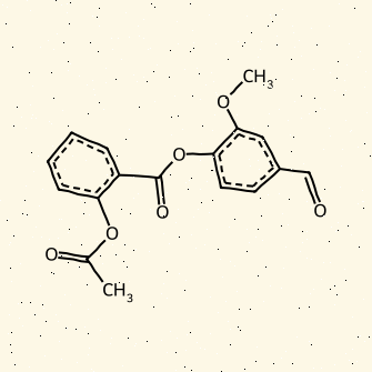 COc1cc(C=O)ccc1OC(=O)c1ccccc1OC(C)=O